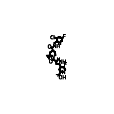 C[C@H](O)c1cc(-c2cc(C(=O)N3CC[C@@H](C(=O)NCc4ncc(F)cc4Cl)CC34CC4)n[nH]2)c(F)cn1